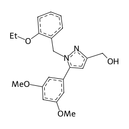 CCOc1ccccc1Cn1nc(CO)cc1-c1cc(OC)cc(OC)c1